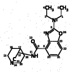 CCN(CC)c1nc2c(C(=O)NC3CN4CCC3CC4)cccc2o1